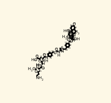 CC(=O)N[C@@H](CCCCN)C(=O)NCC(=O)N[C@@H](CCC(=O)O)C(=O)Nc1ccc(COC(=O)Nc2csc(Cc3ccc([C@H]4O[C@@H]5C[C@H]6[C@@H]7CCC8=CC(=O)C=C[C@]8(C)[C@H]7[C@@H](O)C[C@]6(C)[C@]5(C(=O)CO)O4)cc3)n2)cc1